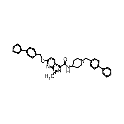 Cn1nc(C(=O)NC2CCN(Cc3ccc(-c4ccccc4)cc3)CC2)c2ccc(OCc3ccc(-c4ccccc4)cc3)nc21